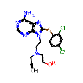 C#CCN(CCO)CCn1c(Sc2ccc(Cl)cc2Cl)nc2c(N)ncnc21